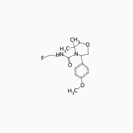 COc1ccc(C2COCC(C)(C)N2C(=O)NCCF)cc1